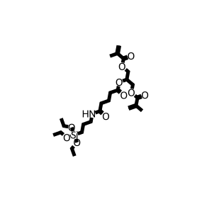 C=C(C)C(=O)OCC(COC(=O)C(=C)C)OC(=O)CCCC(=O)NCCC[Si](OCC)(OCC)OCC